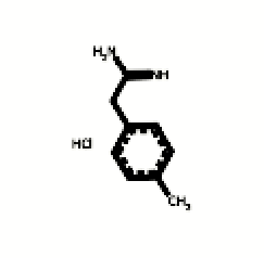 Cc1ccc(CC(=N)N)cc1.Cl